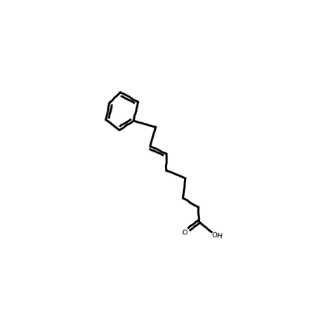 O=C(O)CCCC/C=C/Cc1ccccc1